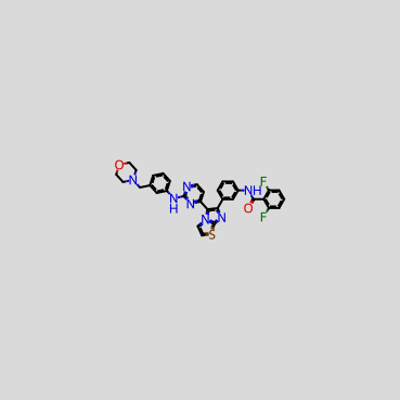 O=C(Nc1cccc(-c2nc3sccn3c2-c2ccnc(Nc3cccc(CN4CCOCC4)c3)n2)c1)c1c(F)cccc1F